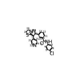 O=C(Nc1ccc(Cl)cc1)c1cccc(-c2nn3c(c2-c2ccncc2)SCC3)c1